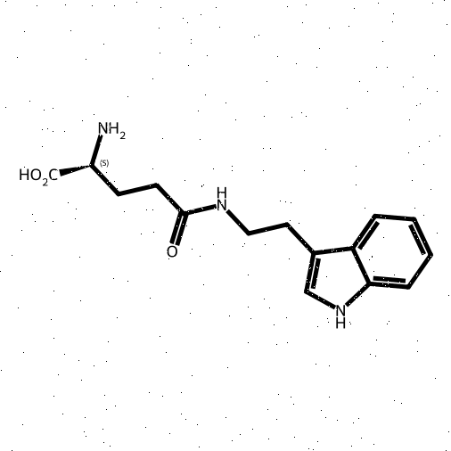 N[C@@H](CCC(=O)NCCc1c[nH]c2ccccc12)C(=O)O